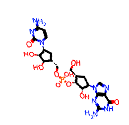 Nc1ccn([C@@H]2C[C@H](COP(=O)(O)O[C@@H]3[C@@H](CO)C[C@@H](n4cnc5c(=O)[nH]c(N)nc54)[C@@H]3O)[C@@H](O)[C@H]2O)c(=O)n1